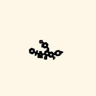 CN1CCN(c2cc3c(cc2F)c(=O)c(-c2noc(C(C)(C)c4ccccc4)n2)cn3Cc2ccc(Cl)nc2)CC1